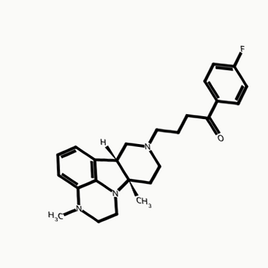 CN1CCN2c3c(cccc31)[C@@H]1CN(CCCC(=O)c3ccc(F)cc3)CC[C@@]12C